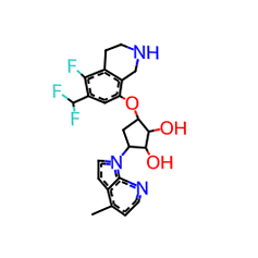 Cc1ccnc2c1ccn2C1CC(Oc2cc(C(F)F)c(F)c3c2CNCC3)C(O)C1O